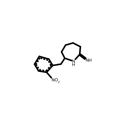 N=C1CCCCC(Cc2ccccc2[N+](=O)[O-])N1